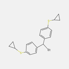 CCC(c1ccc(SC2CC2)cc1)c1ccc(SC2CC2)cc1